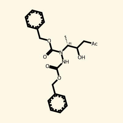 CC(=O)CC(O)[C@@H](C)N(NC(=O)OCc1ccccc1)C(=O)OCc1ccccc1